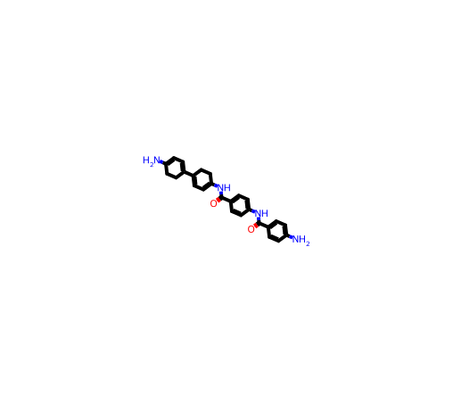 NC1=CC=C(C2=CC=C(NC(=O)c3ccc(NC(=O)c4ccc(N)cc4)cc3)CC2)CC1